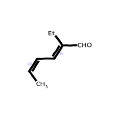 C/C=C\C=C(\C=O)CC